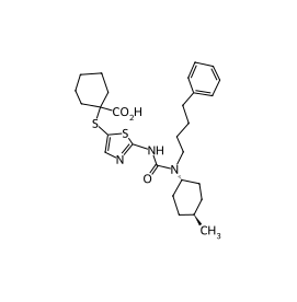 C[C@H]1CC[C@H](N(CCCCc2ccccc2)C(=O)Nc2ncc(SC3(C(=O)O)CCCCC3)s2)CC1